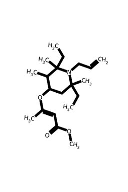 C=CCN1C(C)(CC)CC(OC(C)=CC(=O)OC)C(C)C1(C)CC